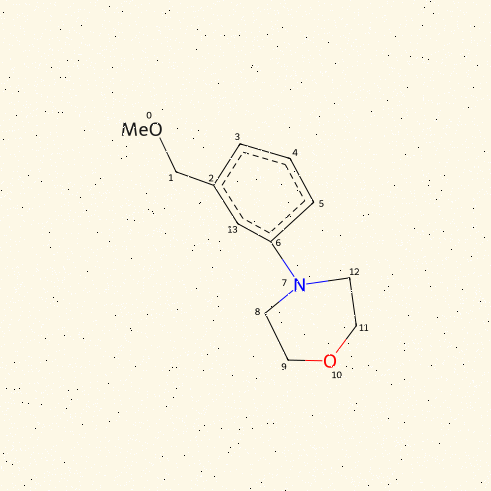 COCc1cccc(N2CCOCC2)c1